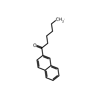 [CH2]CCCCC(=O)c1ccc2ccccc2c1